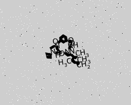 C=C/C=C(/C)C(=C(C)C)c1cc2nc(n1)NS(=O)(=O)c1cccc(c1)C(=O)N1CCN(C3CCC3)C[C@H](C1)O2